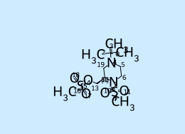 CC(C)(C)N1CCN(S(C)(=O)=O)[C@@H](COS(C)(=O)=O)C1